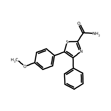 COc1ccc(-c2sc(C(N)=O)nc2-c2ccccc2)cc1